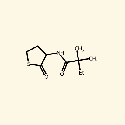 CCC(C)(C)C(=O)NC1CCSC1=O